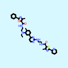 CCN(CCNC(=O)c1oc(-c2ccccc2)nc1C)c1cc(-c2ccnc(NCCNC(=O)c3sc(-c4ccccn4)nc3C)n2)ccc1C